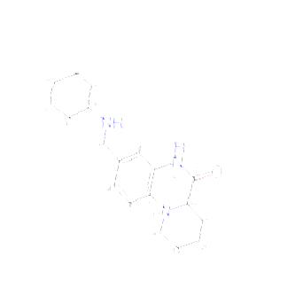 O=C1Nc2cc(CNC3CCCCC3)ccc2N2CCCCC12